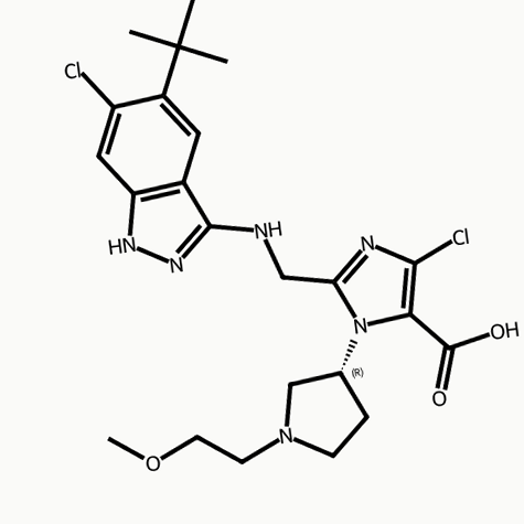 COCCN1CC[C@@H](n2c(CNc3n[nH]c4cc(Cl)c(C(C)(C)C)cc34)nc(Cl)c2C(=O)O)C1